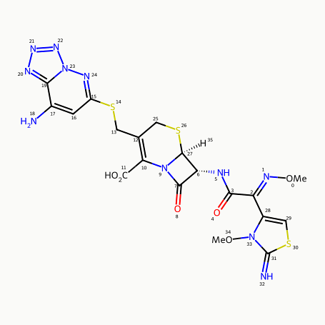 CON=C(C(=O)N[C@@H]1C(=O)N2C(C(=O)O)=C(CSc3cc(N)c4nnnn4n3)CS[C@@H]12)c1csc(=N)n1OC